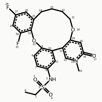 CCS(=O)(=O)Nc1ccc2c(c1)-c1cn(C)c(=O)cc1OCCCCc1cc(F)cc(F)c1O2